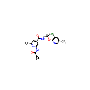 Cc1cc(C(=O)NC[C@@H](C)Oc2ncc(C(F)(F)F)cc2Cl)cc(NC(=O)C2CC2)n1